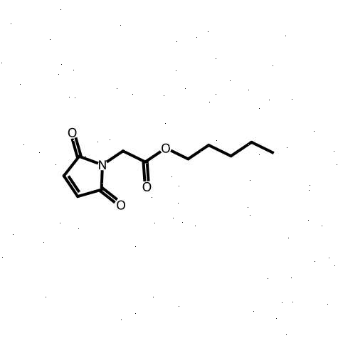 CCCCCOC(=O)CN1C(=O)C=CC1=O